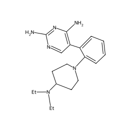 CCN(CC)C1CCN(c2ccccc2-c2cnc(N)nc2N)CC1